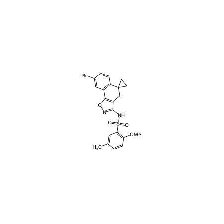 COc1ccc(C)cc1S(=O)(=O)Nc1noc2c1CC1(CC1)c1ccc(Br)cc1-2